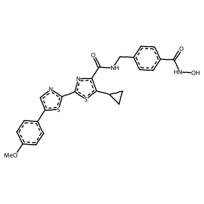 COc1ccc(-c2cnc(-c3nc(C(=O)NCc4ccc(C(=O)NO)cc4)c(C4CC4)s3)s2)cc1